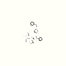 CN[C@@H](C)C(=O)N[C@H]1CCSC2CC(C)(C)[C@@H](C(=O)N[C@@H](C(=O)N[C@H]3CC[C@H](NC(=O)[C@@H](C)c4ccccc4)CC3)c3ccccc3)N2C1=O